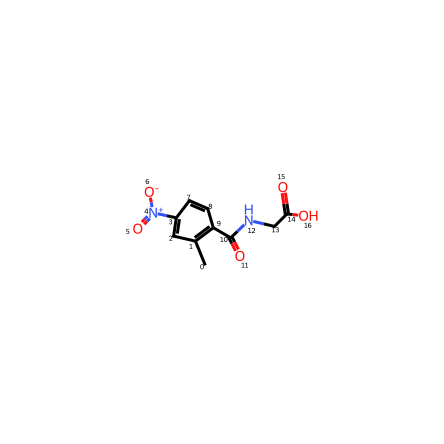 Cc1cc([N+](=O)[O-])ccc1C(=O)NCC(=O)O